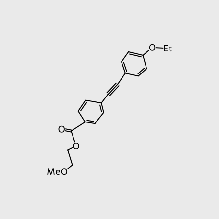 CCOc1ccc(C#Cc2ccc(C(=O)OCCOC)cc2)cc1